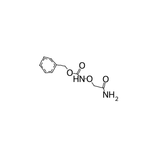 NC(=O)CONC(=O)OCc1ccccc1